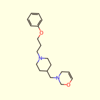 C1=COCN(CC2CCN(CCCOc3ccccc3)CC2)C1